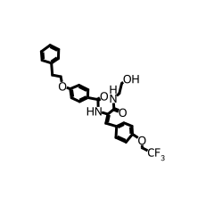 O=C(NCCO)/C(=C\c1ccc(OCC(F)(F)F)cc1)NC(=O)c1ccc(OCCc2ccccc2)cc1